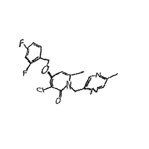 Cc1cnc(Cn2c(C)cc(OCc3ccc(F)cc3F)c(Cl)c2=O)cn1